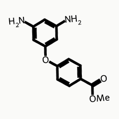 COC(=O)c1ccc(Oc2cc(N)cc(N)c2)cc1